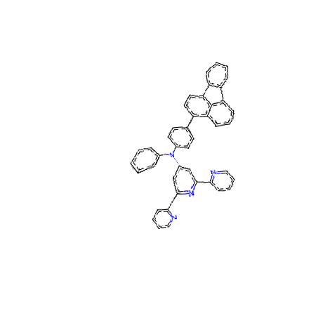 c1ccc(N(c2ccc(-c3ccc4c5c(cccc35)-c3ccccc3-4)cc2)c2cc(-c3ccccn3)nc(-c3ccccn3)c2)cc1